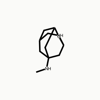 CNC12CC3CNC(CC(C3)C1)C2